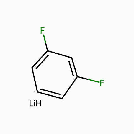 Fc1c[c]cc(F)c1.[LiH]